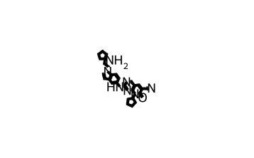 N#Cc1cc2cnc(Nc3ccc4c(ccn4CCC4(N)CCCC4)c3)nc2n(C2CCCC2)c1=O